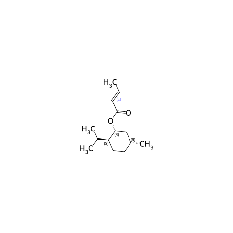 C/C=C/C(=O)O[C@@H]1C[C@H](C)CC[C@H]1C(C)C